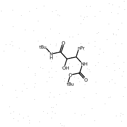 CCCC(NC(=O)OC(C)(C)C)C(O)C(=O)NC(C)(C)C